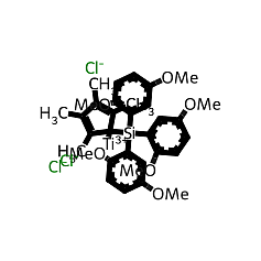 COc1ccc(OC)c([Si](c2cc(OC)ccc2OC)(c2cc(OC)ccc2OC)[C]2([Ti+3])C(C)=C(C)C(C)=C2C)c1.[Cl-].[Cl-].[Cl-]